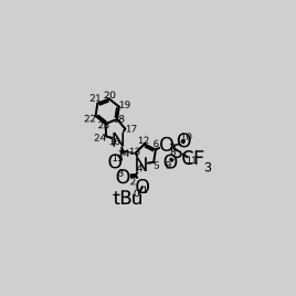 CC(C)(C)OC(=O)N1CC(OS(=O)(=O)C(F)(F)F)=C[C@@H]1C(=O)N1Cc2ccccc2C1